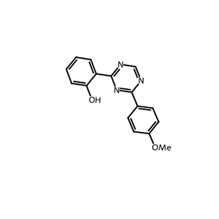 COc1ccc(-c2ncnc(-c3ccccc3O)n2)cc1